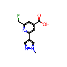 Cn1cc(-c2cc(C(=O)O)cc(CF)n2)cn1